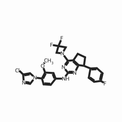 COc1cc(Nc2nc3c(c(N4CC(F)(F)C4)n2)CCC3c2ccc(F)cc2)ccc1-n1cnc(Cl)c1